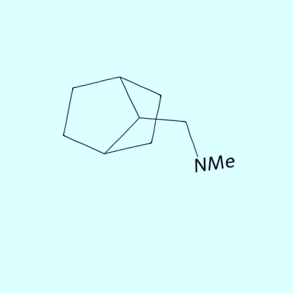 CNCC1C2CCC1CC2